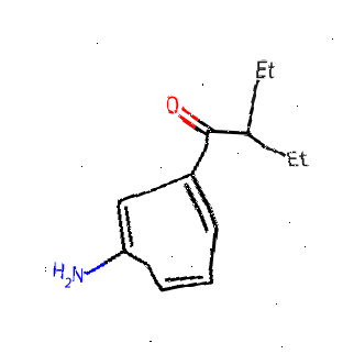 CCC(CC)C(=O)c1cccc(N)c1